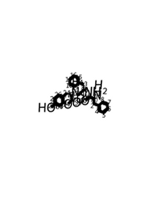 N[C@H](Cc1ccccc1)C(=O)N[C@H](Cc1ccccc1)C(=O)N[C@H](Cc1ccc(O)cc1)C(=O)O